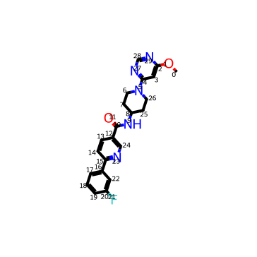 COc1cc(N2CCC(NC(=O)c3ccc(-c4cccc(F)c4)nc3)CC2)ncn1